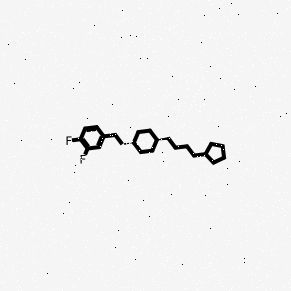 Fc1ccc(CC[C@H]2CC[C@H](CCCCC3CCCC3)CC2)cc1F